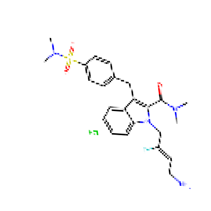 CN(C)C(=O)c1c(Cc2ccc(S(=O)(=O)N(C)C)cc2)c2ccccc2n1C/C(F)=C/CN.Cl